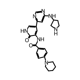 O=C(Nc1cc(-c2cc(NC3CCNC3)ncn2)c[nH]c1=O)c1ccc(N2CCCCC2)cc1